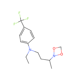 CCN(CCC(C)N1OCO1)c1ccc(C(F)(F)F)cc1